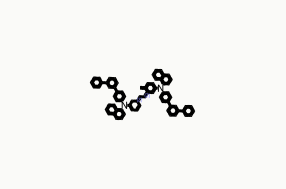 C=c1ccc(N(c2ccc(-c3cccc(-c4ccccc4)c3)cc2)c2cccc3ccccc23)c/c1=C/C=C1\C=CC=C(N(c2ccc(-c3cccc(-c4ccccc4)c3)cc2)c2cccc3ccccc23)C1